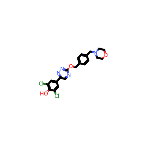 Oc1c(Cl)cc(-c2cnc(OCc3ccc(CN4CCOCC4)cc3)nn2)cc1Cl